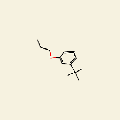 CCCOc1c[c]cc(C(C)(C)C)c1